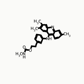 CNC(=O)OCCc1cccc(Nc2c3ccc(C)cc3nc3cc(C)c(C)cc23)c1